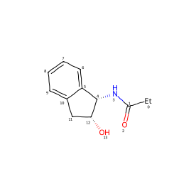 CCC(=O)N[C@H]1c2ccccc2C[C@H]1O